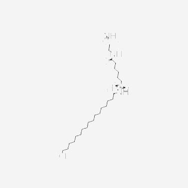 CCCCCCCCCCCCCCCCCC(=O)NS(=O)(=O)CCCCCC(=O)NCCON